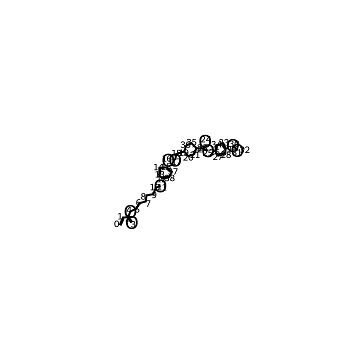 C=CC(=O)OCCCCCCOc1ccc(OOCC2CCC(C(=O)Oc3ccc(OOC)cc3)CC2)cc1